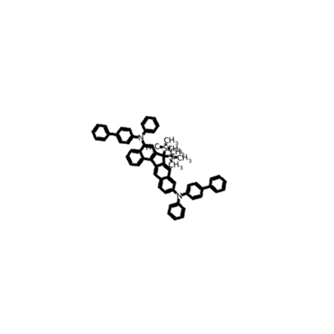 C[Si](C)(C)C1([Si](C)(C)C)c2cc3cc(N(c4ccccc4)c4ccc(-c5ccccc5)cc4)ccc3cc2-c2c1cc(N(c1ccccc1)c1ccc(-c3ccccc3)cc1)c1ccccc21